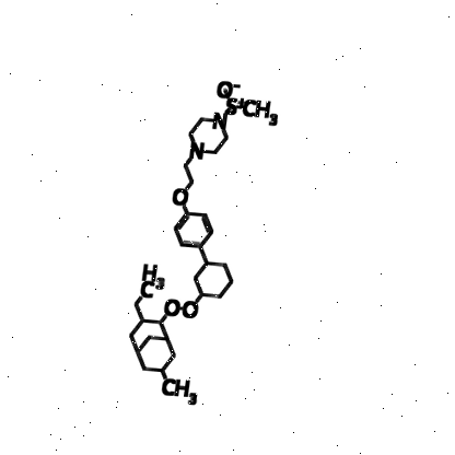 CCC1CC2CC(C)CC(C2)C1OOC1CCCC(c2ccc(OCCN3CCN([S+](C)[O-])CC3)cc2)C1